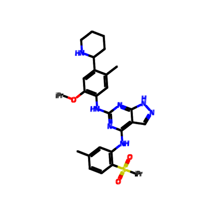 Cc1ccc(S(=O)(=O)C(C)C)c(Nc2nc(Nc3cc(C)c(C4CCCCN4)cc3OC(C)C)nc3[nH]ncc23)c1